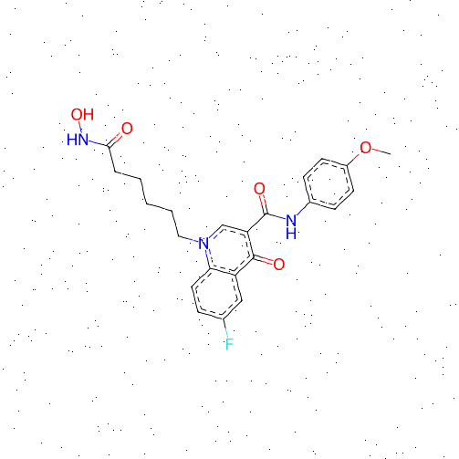 COc1ccc(NC(=O)c2cn(CCCCCC(=O)NO)c3ccc(F)cc3c2=O)cc1